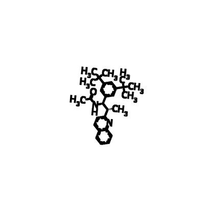 CC(=O)N[C@@H](c1cc(C(C)(C)C)cc(C(C)(C)C)c1)[C@H](C)c1ccc2ccccc2n1